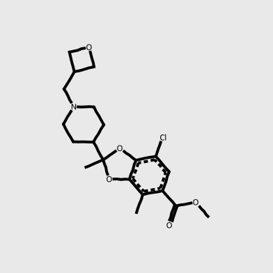 COC(=O)c1cc(Cl)c2c(c1C)OC(C)(C1CCN(CC3COC3)CC1)O2